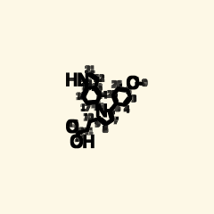 COc1ccc(-c2ccc(CCC(=O)O)n2-c2ccc3[nH]ccc3c2)cc1